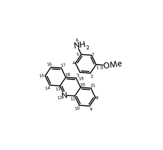 COc1cccc(N)c1.c1ccc2nc3ccccc3cc2c1